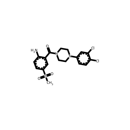 CS(=O)(=O)c1ccc(N)c(C(=O)N2CCN(c3ccc(Cl)c(Cl)c3)CC2)c1